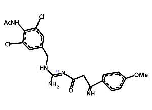 COc1ccc(C(=N)CC(=O)/N=C(\N)NCc2cc(Cl)c(NC(C)=O)c(Cl)c2)cc1